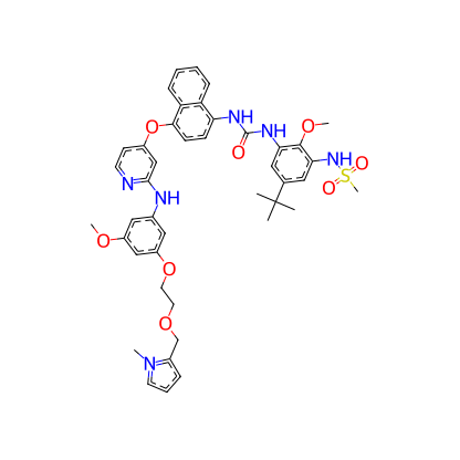 COc1cc(Nc2cc(Oc3ccc(NC(=O)Nc4cc(C(C)(C)C)cc(NS(C)(=O)=O)c4OC)c4ccccc34)ccn2)cc(OCCOCc2cccn2C)c1